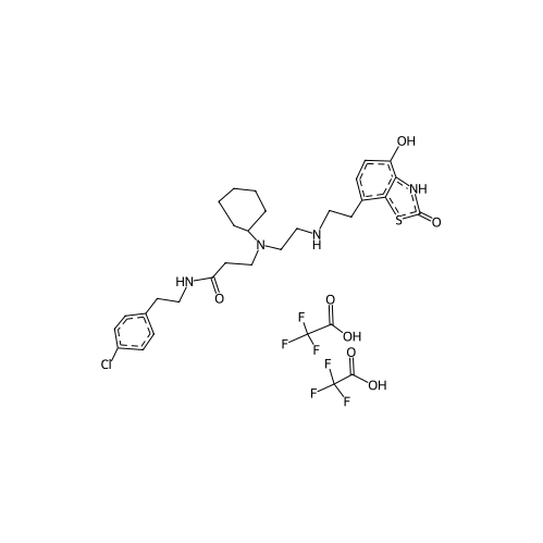 O=C(CCN(CCNCCc1ccc(O)c2[nH]c(=O)sc12)C1CCCCC1)NCCc1ccc(Cl)cc1.O=C(O)C(F)(F)F.O=C(O)C(F)(F)F